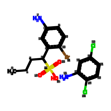 CCCC(c1cc(N)ccc1Br)S(=O)(=O)O.Nc1cc(Cl)ccc1Cl